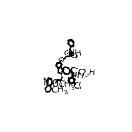 C[C@@H](COc1ccnc2c1[C@H](C)CCC2)C[C@H]1Cc2ccc(OCCCS(=O)(=O)NCc3ccccc3)cc2C12CCC(Nc1cccc(Cl)c1)(C(=O)O)CC2